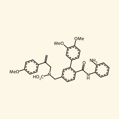 C=C(CN(Cc1ccc(C(=O)Nc2ccccc2N)c(-c2ccc(OC)c(OC)c2)c1)C(=O)O)c1ccc(OC)cc1